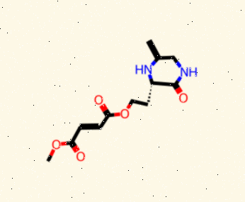 C=C1CNC(=O)[C@H](CCOC(=O)/C=C/C(=O)OC)N1